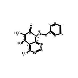 Cc1c(O)c2c(C)ncnc2n(OCc2ccccc2)c1=O